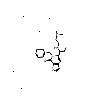 CCC(NCCN(C)C)c1nc2ccsc2c(=O)n1Cc1ccccc1